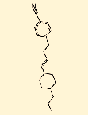 CCCC1CCC(C=CCCc2ccc(C#N)cc2)CC1